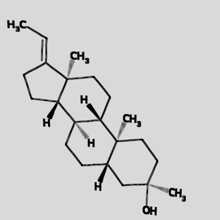 C/C=C1\CC[C@H]2[C@@H]3CC[C@H]4C[C@](C)(O)CC[C@]4(C)[C@H]3CC[C@]12C